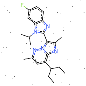 CCC(CC)c1cc(C)nn2c(-c3nc4ccc(F)cc4n3C(C)C)c(C)nc12